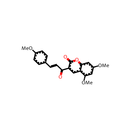 COc1ccc(C=CC(=O)c2cc3c(OC)cc(OC)cc3oc2=O)cc1